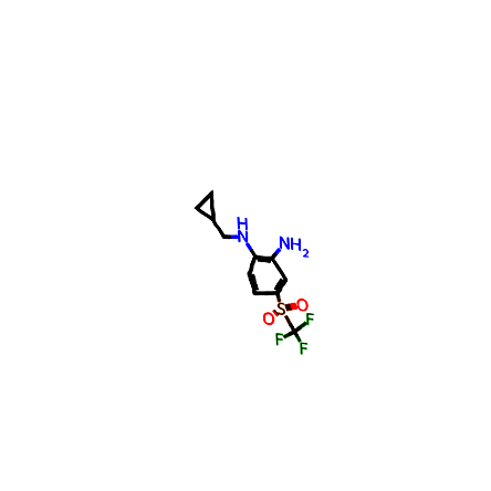 Nc1cc(S(=O)(=O)C(F)(F)F)ccc1NCC1CC1